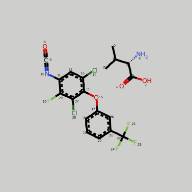 CC(C)[C@H](N)C(=O)O.O=C=Nc1cc(Cl)c(Oc2cccc(C(F)(F)F)c2)c(Cl)c1F